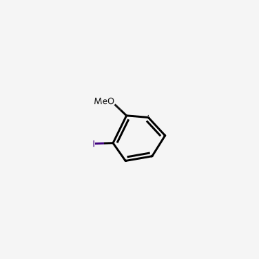 COc1[c]cccc1I